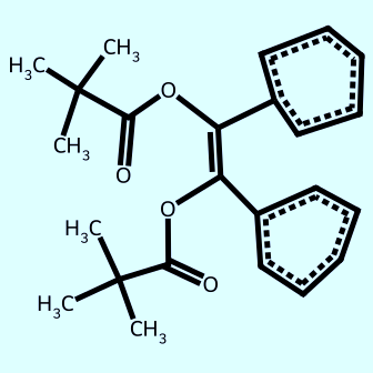 CC(C)(C)C(=O)OC(=C(OC(=O)C(C)(C)C)c1ccccc1)c1ccccc1